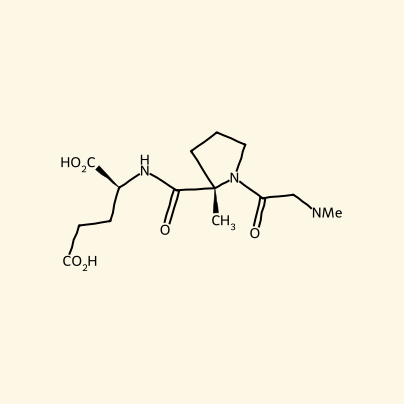 CNCC(=O)N1CCC[C@@]1(C)C(=O)N[C@@H](CCC(=O)O)C(=O)O